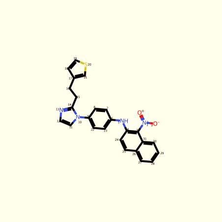 O=[N+]([O-])c1c(Nc2ccc(-n3ccnc3CCc3ccsc3)cc2)ccc2ccccc12